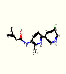 CC(C)=CC(=O)Nc1ccc(-c2cncc(F)c2)nc1C(F)(F)F